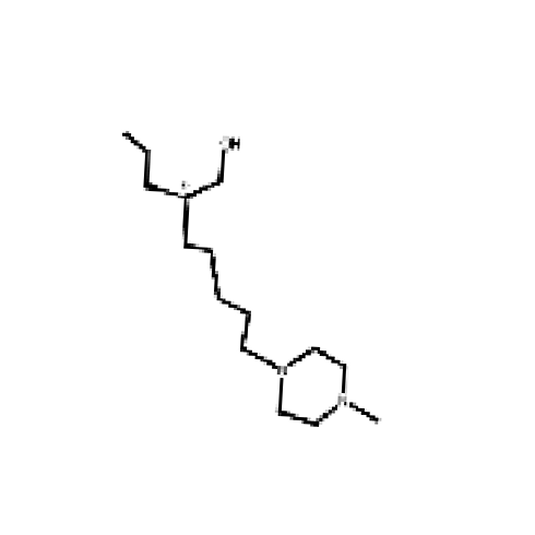 CCC[C@@H](CO)CCCCCN1CCN(C)CC1